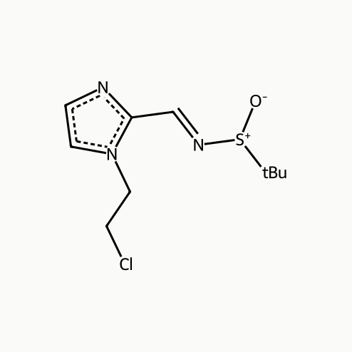 CC(C)(C)[S+]([O-])N=Cc1nccn1CCCl